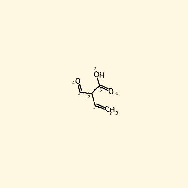 C=CC([C]=O)C(=O)O